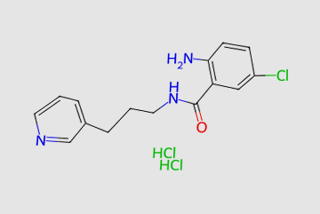 Cl.Cl.Nc1ccc(Cl)cc1C(=O)NCCCc1cccnc1